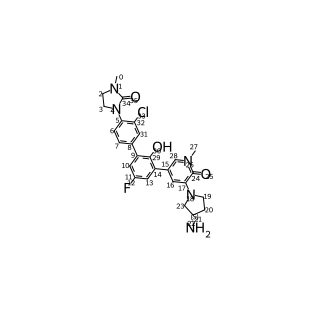 CN1CCN(c2ccc(-c3cc(F)cc(-c4cc(N5CC[C@H](N)C5)c(=O)n(C)c4)c3O)cc2Cl)C1=O